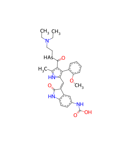 CCN(CC)CC[AsH]C(=O)c1c(C)[nH]c(/C=C2\C(=O)Nc3ccc(NC(=O)O)cc32)c1-c1ccccc1OC